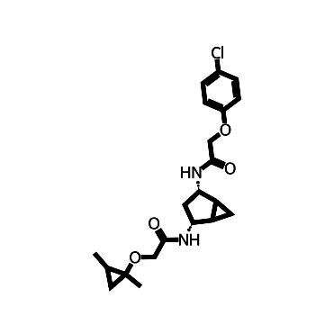 CC1CC1(C)OCC(=O)N[C@@H]1C[C@H](NC(=O)COc2ccc(Cl)cc2)C2CC21